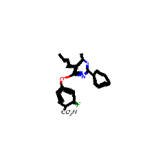 C=CCc1c(C)nc(-c2ccccc2)nc1Oc1ccc(C(=O)O)c(F)c1